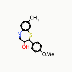 COc1ccc(C2Sc3cc(C)ccc3N=CC2O)cc1